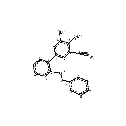 C#Cc1cc(-c2cccnc2OCc2ccccc2)cc(C(C)(C)C)c1OC